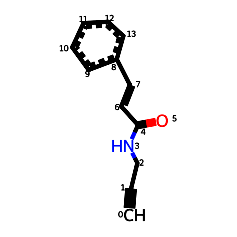 C#CCNC(=O)C=Cc1ccccc1